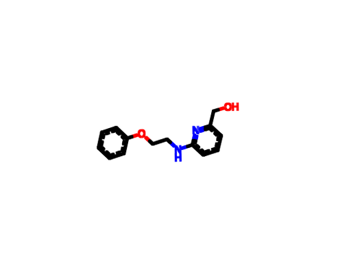 OCc1cccc(NCCOc2ccccc2)n1